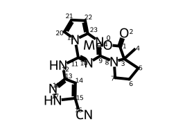 COC(=O)C1(C)CCCN1c1nc(Nc2cc(C#N)[nH]n2)n2cccc2n1